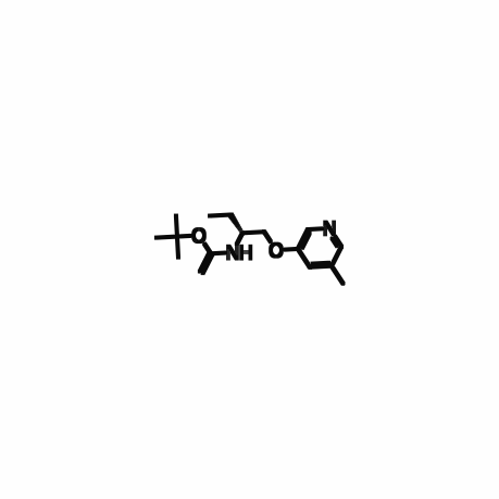 C=C(N[C@@H](CC)COc1cncc(C)c1)OC(C)(C)C